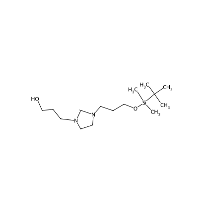 CC(C)(C)[Si](C)(C)OCCCN1[C]N(CCCO)CC1